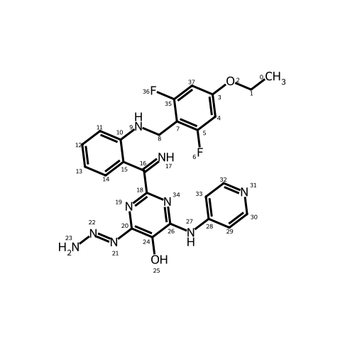 CCOc1cc(F)c(CNc2ccccc2C(=N)c2nc(N=NN)c(O)c(Nc3ccncc3)n2)c(F)c1